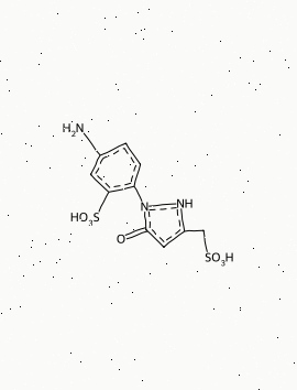 Nc1ccc(-n2[nH]c(CS(=O)(=O)O)cc2=O)c(S(=O)(=O)O)c1